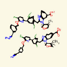 C[C@H]1COC[C@H]1n1c(Cc2cc(F)c(-c3ccc(F)c(OCc4ccc(C#N)cc4)n3)cc2F)nc2ccc(C(=O)O)cc21.C[C@H]1COC[C@H]1n1c(Cc2cc(F)c(-c3ccc(F)c(OCc4ccc(C#N)cc4)n3)cc2F)nc2ccc(C(=O)O)cc21